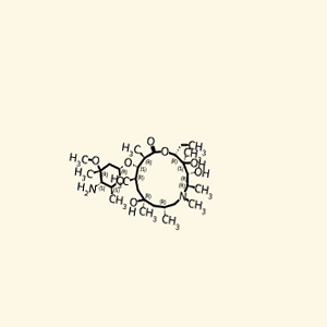 CC[C@H]1OC(=O)[C@H](C)[C@@H](O[C@H]2C[C@@](C)(OC)[C@@H](N)[C@H](C)O2)[C@H](C)C[C@](C)(O)C[C@@H](C)CN(C)[C@H](C)[C@@H](O)[C@]1(C)O